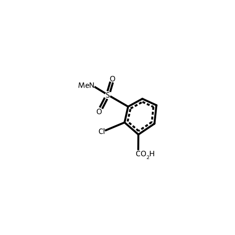 CNS(=O)(=O)c1cccc(C(=O)O)c1Cl